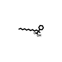 CCCCCCCCCCC(C)(C(=O)O)C1CCCCC1